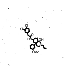 C=CCN1CCC2(c3cccc(OC(C)=O)c3)CC(NC(=O)Cc3ccc(Cl)c(Cl)c3)CCC2(O)C1